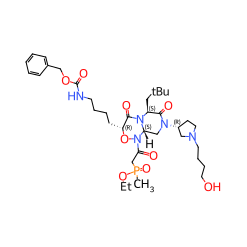 CCOP(C)(=O)CC(=O)N1O[C@H](CCCCNC(=O)OCc2ccccc2)C(=O)N2[C@@H]1CN([C@@H]1CCN(CCCCO)C1)C(=O)[C@@H]2CC(C)(C)C